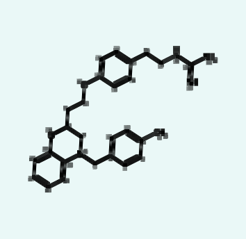 Cc1ccc(CN2CC(CCOc3ccc(CCNC(=N)N)cc3)Oc3ccccc32)cc1